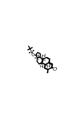 CC1C[C@H]2C(=CC1=O)CC[C@@H]1[C@@H]2CC[C@]2(C)[C@@H](O[Si](C)(C)C(C)(C)C)CC[C@@H]12